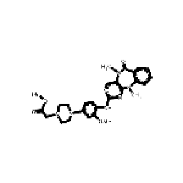 COc1cc(N2CCN(CC(=O)OC(C)(C)C)CC2)ccc1Nc1ncc2c(n1)N(C)c1ccccc1C(=O)N2C